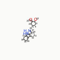 COc1ccc(CCC2(N)CCCc3c2[nH]c2ccccc32)cc1OC